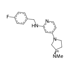 CN[C@@H]1CCN(c2ccnc(NCc3ccc(F)cc3)c2)C1